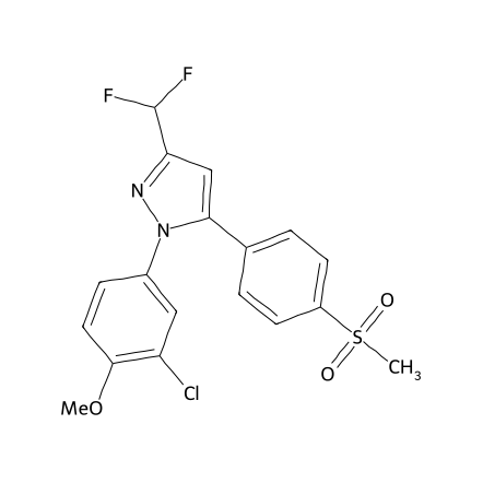 COc1ccc(-n2nc(C(F)F)cc2-c2ccc(S(C)(=O)=O)cc2)cc1Cl